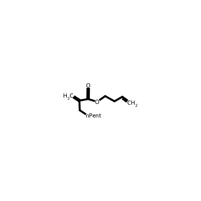 C=CCCOC(=O)C(=C)CCCCCC